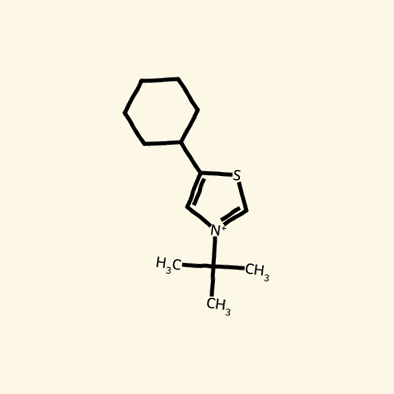 CC(C)(C)[n+]1csc(C2CCCCC2)c1